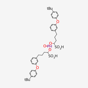 CC(C)(C)c1ccc(Oc2cccc(CCCC(O[PH](=O)OC(CCCc3cccc(Oc4ccc(C(C)(C)C)cc4)c3)S(=O)(=O)O)S(=O)(=O)O)c2)cc1